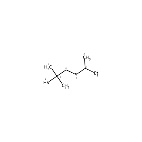 CCC(C)SCC(C)(C)S